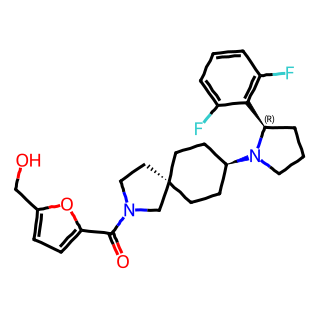 O=C(c1ccc(CO)o1)N1CC[C@]2(CC[C@H](N3CCC[C@@H]3c3c(F)cccc3F)CC2)C1